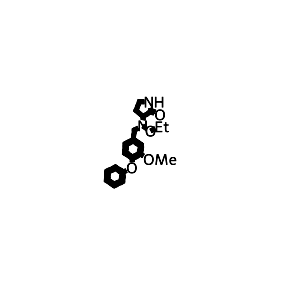 CCON(Cc1ccc(Oc2ccccc2)c(OC)c1)C1CCNC1=O